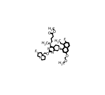 CCc1c(F)ccc2cc(OCOC)cc(N3CCc4c(nc(OC[C@@]56CCCN5C[C@H](F)C6)nc4N(C)CCCC(=O)OC)C3)c12